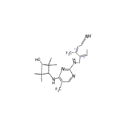 C/C=C(CNc1ncc(C(F)(F)F)c(NC2C(C)(C)C(O)C2(C)C)n1)\C(=C/C=N)C(F)(F)F